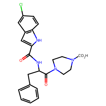 O=C(NC(Cc1ccccc1)C(=O)N1CCN(C(=O)O)CC1)c1cc2cc(Cl)ccc2[nH]1